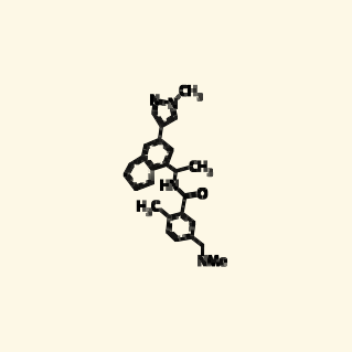 CNCc1ccc(C)c(C(=O)NC(C)c2cc(-c3cnn(C)c3)cc3ccccc23)c1